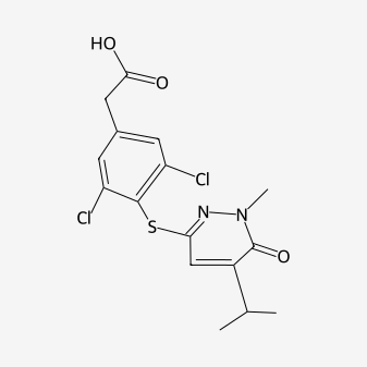 CC(C)c1cc(Sc2c(Cl)cc(CC(=O)O)cc2Cl)nn(C)c1=O